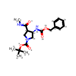 CNC(=O)C1CN(C(=O)OC(C)(C)C)C[C@@H]1NC(=O)OCc1ccccc1